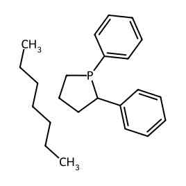 CCCCCCC.c1ccc(C2CCCP2c2ccccc2)cc1